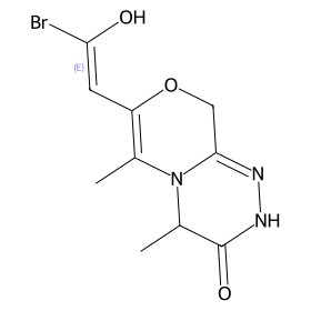 CC1=C(/C=C(\O)Br)OCC2=NNC(=O)C(C)N21